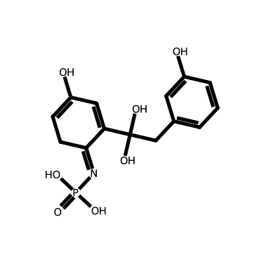 O=P(O)(O)N=C1CC=C(O)C=C1C(O)(O)Cc1cccc(O)c1